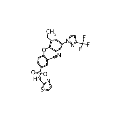 CCc1cc(-n2ccc(C(F)(F)F)n2)ccc1Oc1ccc(S(=O)(=O)Nc2nccs2)cc1C#N